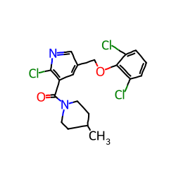 CC1CCN(C(=O)c2cc(COc3c(Cl)cccc3Cl)cnc2Cl)CC1